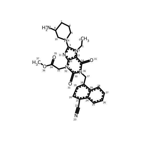 CCn1c(N2CCCC(N)C2)nc2c1c(=O)n(Cc1ccc(C#N)c3ccccc13)c(=O)n2CC(=O)OC